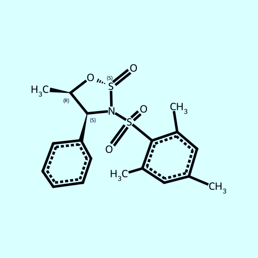 Cc1cc(C)c(S(=O)(=O)N2[C@@H](c3ccccc3)[C@@H](C)O[S@@]2=O)c(C)c1